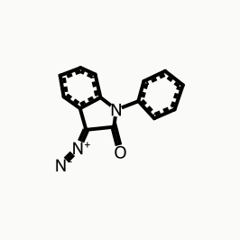 [N-]=[N+]=C1C(=O)N(c2ccccc2)c2ccccc21